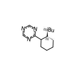 CC[C@H](C)[C@@H]1CCCCC1c1ncncn1